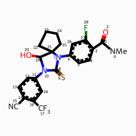 CNC(=O)c1ccc(N2C(=S)N(c3ccc(C#N)c(C(F)(F)F)c3)C(O)C23CCCC3)cc1F